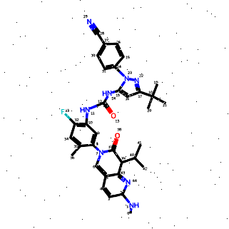 CNC1C=CC2=CN(c3cc(NC(=O)Nc4cc(C(C)(C)C)nn4-c4ccc(C#N)cc4)c(F)cc3C)C(=O)C(C(C)C)C2=N1